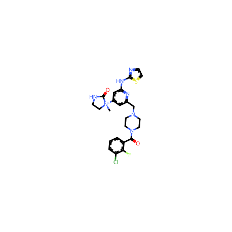 C[N+]1(c2cc(CN3CCN(C(=O)c4cccc(Cl)c4F)CC3)nc(Nc3nccs3)c2)CCNC1=O